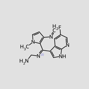 C=Nc1ccn(C)c1/C(=N\CN)c1c[nH]c2ncc(F)cc12